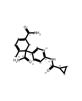 CC1=CC=C(C(N)=O)CC1(C(N)=O)c1ccc(NC(=O)C2CC2)nc1